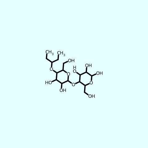 CCC(CC)OC1C(CO)OC(OC2C(CO)OC(O)C(O)C2O)C(O)C1O